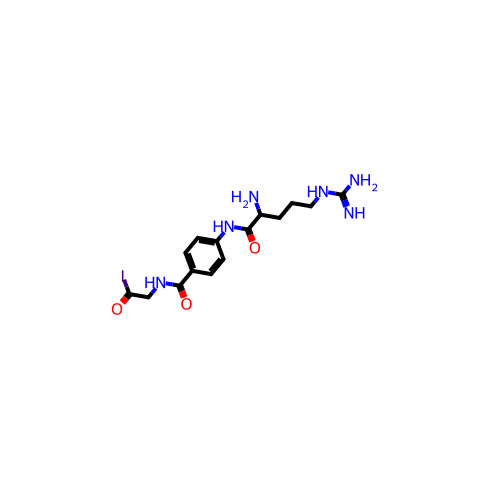 N=C(N)NCCCC(N)C(=O)Nc1ccc(C(=O)NCC(=O)I)cc1